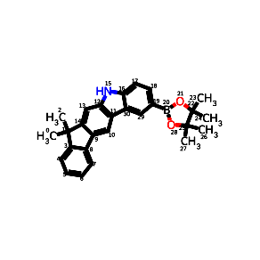 CC1(C)c2ccccc2-c2cc3c(cc21)[nH]c1ccc(B2OC(C)(C)C(C)(C)O2)cc13